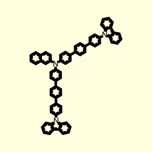 c1ccc2cc(N(c3ccc(-c4ccc(-c5ccc(-n6c7ccccc7c7ccccc76)cc5)cc4)cc3)c3ccc(-c4ccc(-c5ccc(-n6c7ccccc7c7ccccc76)cc5)cc4)cc3)ccc2c1